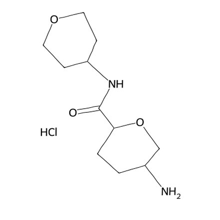 Cl.NC1CCC(C(=O)NC2CCOCC2)OC1